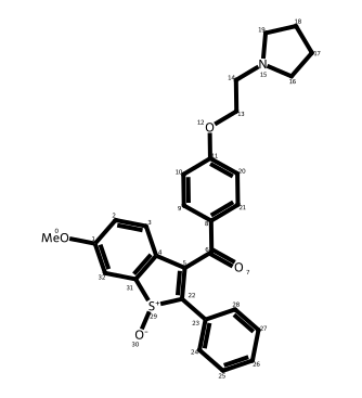 COc1ccc2c(C(=O)c3ccc(OCCN4CCCC4)cc3)c(-c3ccccc3)[s+]([O-])c2c1